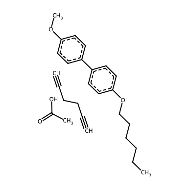 C#CCCC#C.CC(=O)O.CCCCCCOc1ccc(-c2ccc(OC)cc2)cc1